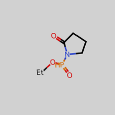 CCO[PH](=O)N1CCCC1=O